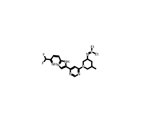 CCS(CC)=NC1CC(C)CN(c2cc(-c3cnc(/C=C\C(=N)C(F)F)[nH]3)ncn2)C1